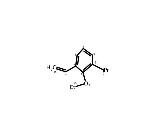 C=Cc1cccc([C](C)C)c1OCC